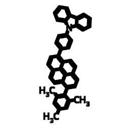 Cc1cc(C)c(-c2ccc3ccc4c(-c5ccc(-n6c7ccccc7c7ccccc76)cc5)ccc5ccc2c3c54)c(C)c1